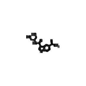 CC(=S)c1ccn2ncc(C(=O)NC(CO)CO)c2c1